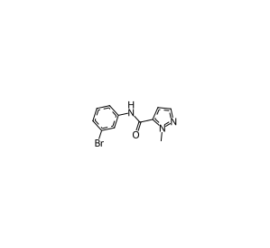 Cn1nccc1C(=O)Nc1cccc(Br)c1